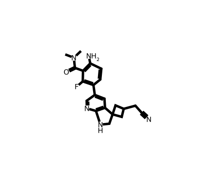 CN(C)C(=O)c1c(N)ccc(-c2cnc3c(c2)C2(CN3)CC(CC#N)C2)c1F